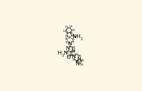 Nc1nc(N2CCC3(CC2)Cc2ccccc2[C@H]3N)cnc1C(=O)N1CCn2ccnc2C1